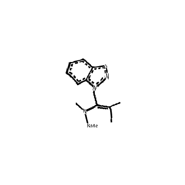 CNN(C)C(=C(C)C)n1nnc2ccccc21